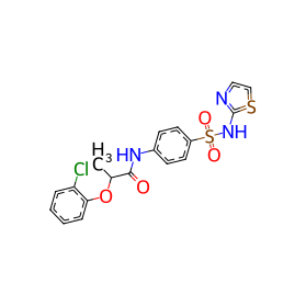 CC(Oc1ccccc1Cl)C(=O)Nc1ccc(S(=O)(=O)Nc2nccs2)cc1